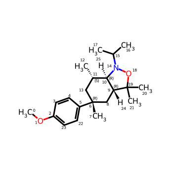 COc1ccc([C@@]2(C)C[C@@H]3[C@@H]([C@@H](C)C2)N(C(C)C)OC3(C)C)cc1